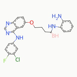 B=C(CCCOc1ccc2ncnc(Nc3ccc(F)c(Cl)c3)c2c1)Nc1ccccc1N